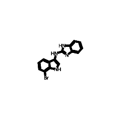 Brc1cccc2c(Nc3nc4ccccc4[nH]3)c[nH]c12